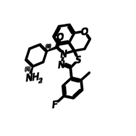 Cc1ccc(F)cc1C1=NN(C(=O)[C@@H]2CCC[C@H](N)C2)C2(CCOc3ccccc32)S1